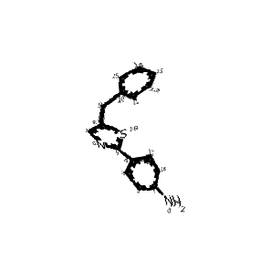 Nc1ccc(-c2ncc(Cc3ccccc3)s2)cc1